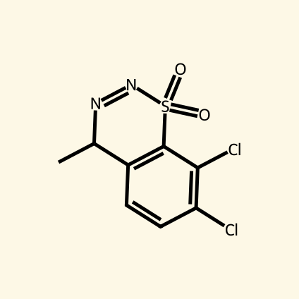 CC1N=NS(=O)(=O)c2c1ccc(Cl)c2Cl